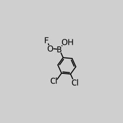 OB(OF)c1ccc(Cl)c(Cl)c1